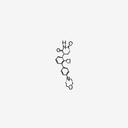 O=C1CCC(c2cccc(-c3ccc(N4CCOCC4)cc3)c2Cl)C(=O)N1